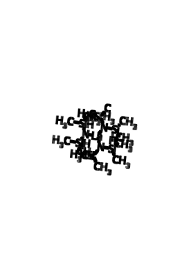 C[SiH](C)[N]([SiH](C)C)[La]([N]([SiH](C)C)[SiH](C)C)[N]([SiH](C)C)[SiH](C)C